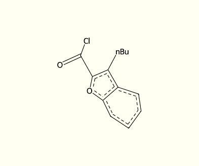 CCCCc1c(C(=O)Cl)oc2ccccc12